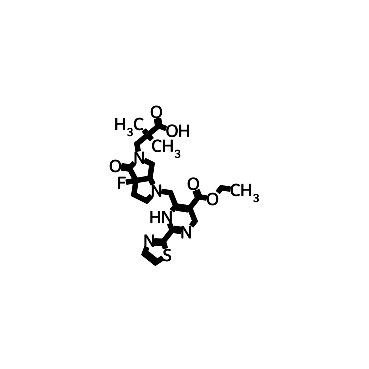 CCOC(=O)C1=C(CN2CCC3(F)C(=O)N(CC(C)(C)C(=O)O)CC23)NC(c2nccs2)=NC1